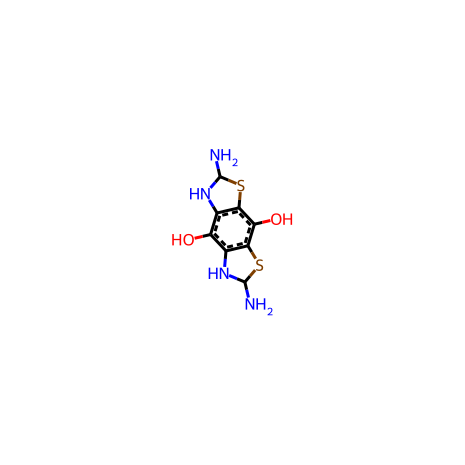 NC1Nc2c(O)c3c(c(O)c2S1)SC(N)N3